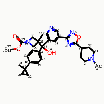 CC(=O)N1CCC(c2nc(-c3cncc(C(O)(c4ccc(C5(C)CC5)cc4)C4(C)CN(C(=O)OC(C)(C)C)C4)c3)no2)CC1